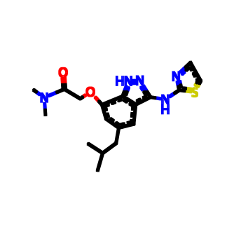 CC(C)Cc1cc(OCC(=O)N(C)C)c2[nH]nc(Nc3nccs3)c2c1